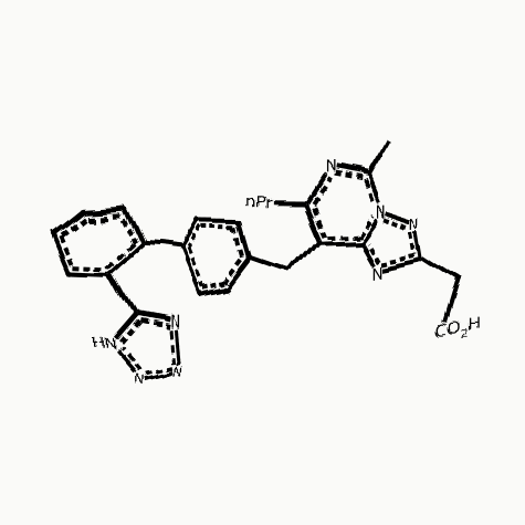 CCCc1nc(C)n2nc(CC(=O)O)nc2c1Cc1ccc(-c2ccccc2-c2nnn[nH]2)cc1